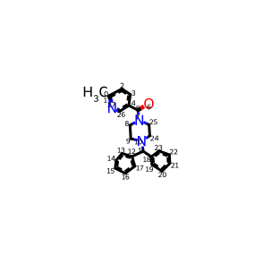 Cc1ccc(C(=O)N2CCN(C(c3ccccc3)c3ccccc3)CC2)cn1